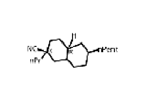 CCCCCC1CCC2C[C@](C#N)(CCC)CC[C@@H]2C1